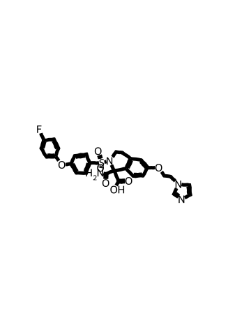 NC(=O)C1(C(=O)O)c2ccc(OCCn3ccnc3)cc2CCN1S(=O)(=O)c1ccc(Oc2ccc(F)cc2)cc1